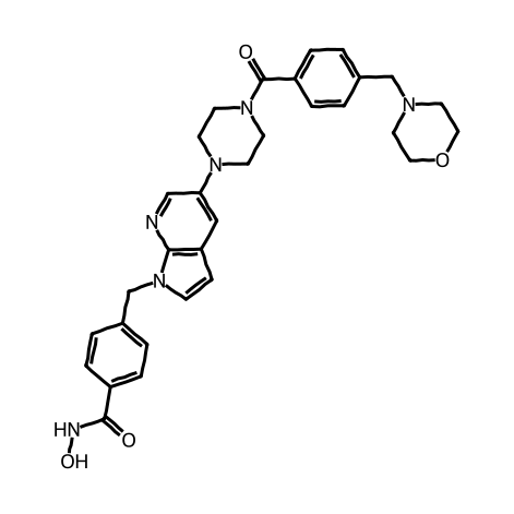 O=C(NO)c1ccc(Cn2ccc3cc(N4CCN(C(=O)c5ccc(CN6CCOCC6)cc5)CC4)cnc32)cc1